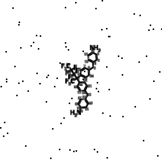 Nc1ccc(Cc2ccc(C(c3ccc(Cc4ccc(N)cc4)cc3)(C(F)(F)F)C(F)(F)C(F)(F)C(F)(F)F)cc2)cc1